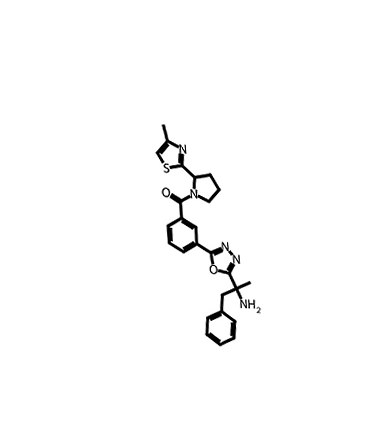 Cc1csc(C2CCCN2C(=O)c2cccc(-c3nnc(C(C)(N)Cc4ccccc4)o3)c2)n1